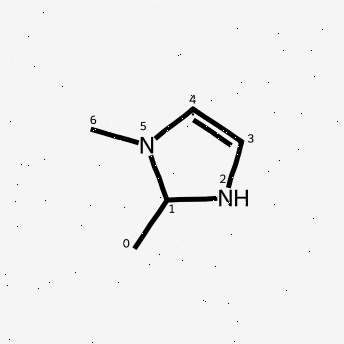 CC1NC=[C]N1C